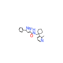 Cc1ncccc1C1(CNC(=O)c2cc(-c3ccccc3)nn2C)CCCCC1